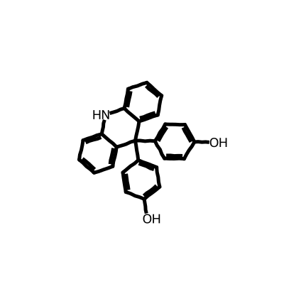 Oc1ccc(C2(c3ccc(O)cc3)c3ccccc3Nc3ccccc32)cc1